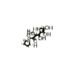 OC(C1NC[C@@H](O)[C@@H]1O)[C@@H](O)[C@@H](O)C(O)N1CCCC1